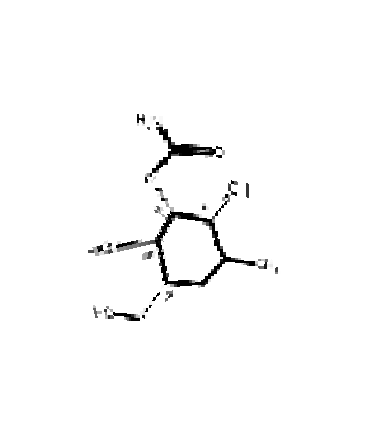 CC1C[C@H](CO)[C@@H](O)[C@H](OC(N)=O)[C@@H]1O